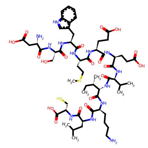 CC[C@H](C)[C@H](NC(=O)[C@@H](NC(=O)[C@H](CCC(=O)O)NC(=O)[C@H](CCC(=O)O)NC(=O)[C@H](CCSC)NC(=O)[C@H](Cc1c[nH]c2ccccc12)NC(=O)[C@H](CO)NC(=O)[C@@H](N)CC(=O)O)C(C)C)C(=O)N[C@@H](CCCCN)C(=O)N[C@@H](CC(C)C)C(=O)N[C@@H](CS)C(=O)O